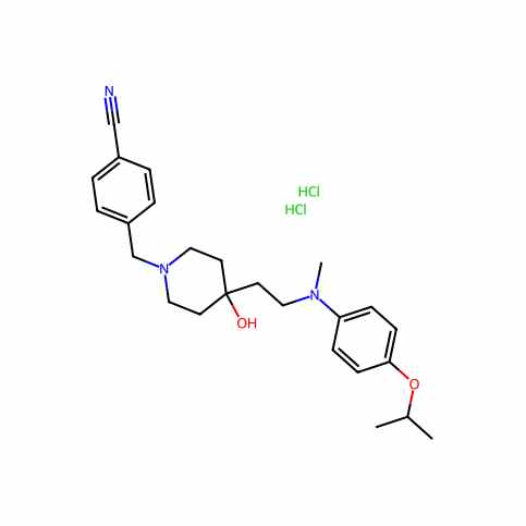 CC(C)Oc1ccc(N(C)CCC2(O)CCN(Cc3ccc(C#N)cc3)CC2)cc1.Cl.Cl